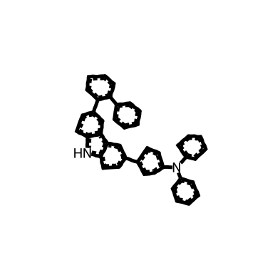 c1ccc(-c2ccccc2-c2ccc3[nH]c4ccc(-c5ccc(N(c6ccccc6)c6ccccc6)cc5)cc4c3c2)cc1